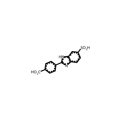 O=C(O)c1ccc(-c2nc3ccc(S(=O)(=O)O)cc3[nH]2)cc1